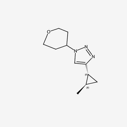 C[C@@H]1C[C@H]1c1cn(C2CCOCC2)nn1